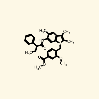 CCC(C(=O)Nc1cc2c(cc1C)c(C)c(C)n2Cc1ccc(C(=O)OC)cc1OC)c1ccccc1